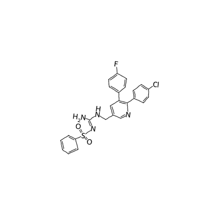 N/C(=N\S(=O)(=O)c1ccccc1)NCc1cnc(-c2ccc(Cl)cc2)c(-c2ccc(F)cc2)c1